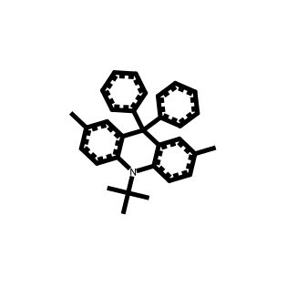 Cc1ccc2c(c1)C(c1ccccc1)(c1ccccc1)c1cc(C)ccc1N2C(C)(C)C